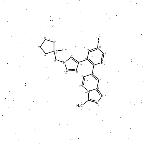 Cc1nnc2cc(-c3ncc(F)cc3-c3cnn(CC4(F)CCCC4)c3)ccn12